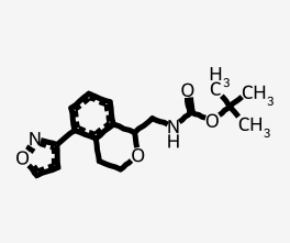 CC(C)(C)OC(=O)NCC1OCCc2c(-c3ccon3)cccc21